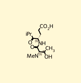 CN[C@H](C(=O)N[C@@H](CCC(=O)O)C(=O)C(C)C)[C@@H](C)O